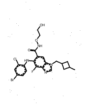 CC1CC(Cn2cnc3c(F)c(Nc4ccc(Br)cc4Cl)c(C(=O)NOCCO)cc32)C1